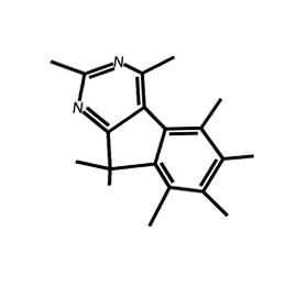 Cc1nc(C)c2c(n1)C(C)(C)c1c(C)c(C)c(C)c(C)c1-2